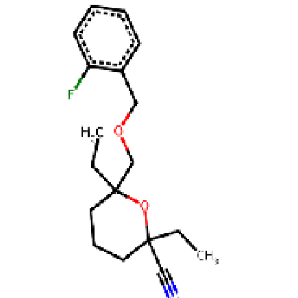 CCC1(C#N)CCCC(CC)(COCc2ccccc2F)O1